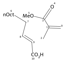 C=C(C)C(=O)OC.CCCCCCCCCC=CC(=O)O